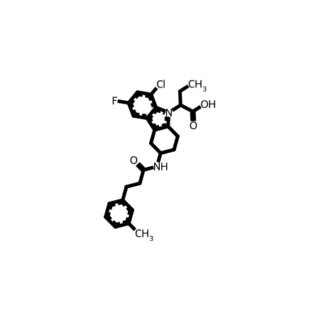 CCC(C(=O)O)n1c2c(c3cc(F)cc(Cl)c31)CC(NC(=O)CCc1cccc(C)c1)CC2